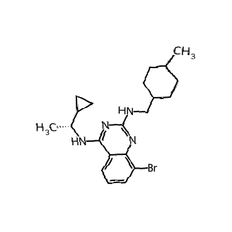 CC1CCC(CNc2nc(N[C@H](C)C3CC3)c3cccc(Br)c3n2)CC1